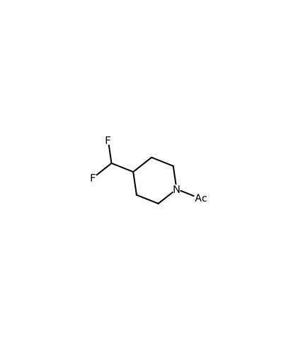 CC(=O)N1CCC(C(F)F)CC1